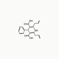 C=CCC1=C(C(=O)O)C(c2ccccc2)C(C(=O)O)=C(CC=C)N1